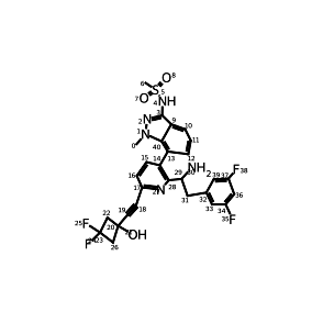 Cn1nc(NS(C)(=O)=O)c2cccc(-c3ccc(C#CC4(O)CC(F)(F)C4)nc3C(N)Cc3cc(F)cc(F)c3)c21